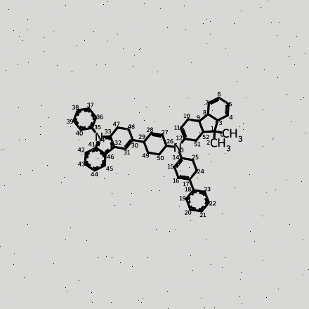 CC1(C)C2C=CC=CC2C2CC=C(N(C3=CC=C(c4ccccc4)CC3)C3C=CC(C4=Cc5c(n(-c6ccccc6)c6ccccc56)CC4)CC3)CC21